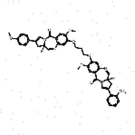 COc1ccc(C2=CN3C(=O)c4cc(OC)c(OCCCOc5cc6c(cc5OC)C(=O)N5C=C(c7ccccc7N)C[C@H]5C=N6)cc4N=C[C@@H]3C2)cc1